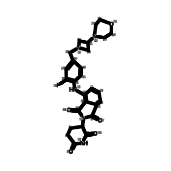 O=C1CCC(N2C(=O)c3cccc(Nc4ccc(CN5CC(N6CCOCC6)C5)cc4F)c3C2=O)C(=O)N1